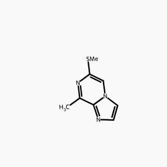 CSc1cn2ccnc2c(C)n1